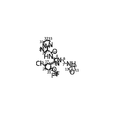 O=C(Nc1cn(CCNC2CCOC2)nc1-c1cc(Cl)ccc1OC(F)F)c1cnn2cccnc12